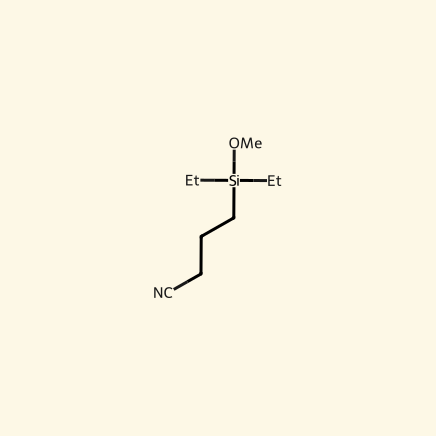 CC[Si](CC)(CCCC#N)OC